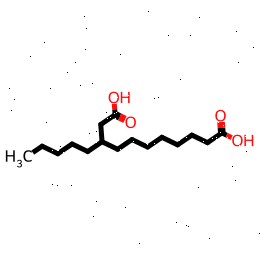 CCCCCC(CCCCCCCC(=O)O)CC(=O)O